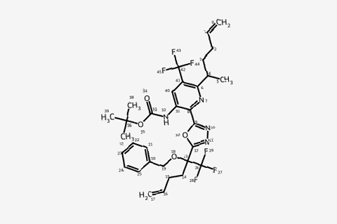 C=CCCC(C)c1nc(-c2nnc(C(CCC=C)(OCc3ccccc3)C(F)(F)F)o2)c(NC(=O)OC(C)(C)C)cc1C(F)(F)F